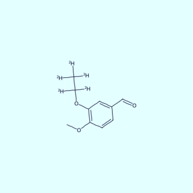 [2H]C([2H])([2H])C([2H])([2H])Oc1cc(C=O)ccc1OC